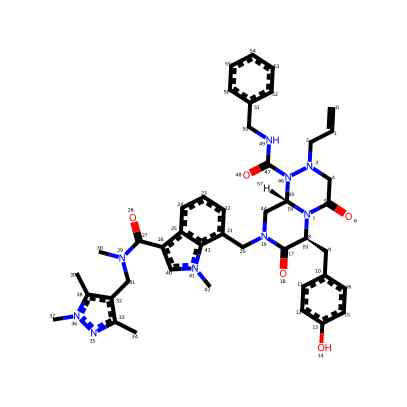 C=CCN1CC(=O)N2[C@@H](Cc3ccc(O)cc3)C(=O)N(Cc3cccc4c(C(=O)N(C)Cc5c(C)nn(C)c5C)cn(C)c34)C[C@@H]2N1C(=O)NCc1ccccc1